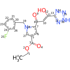 CCOC(=O)c1cc(C(=O)C=C(O)c2nn[nH]n2)n(Cc2cccc(F)c2)c1